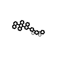 c1ccc2c(-c3c4ccccc4c(-c4ccc(-c5ccc6c(c5)oc5cc7oc8ccccc8c7cc56)c5ccccc45)c4ccccc34)cccc2c1